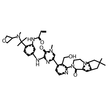 C=CC(=O)Nc1cc(Nc2nc(-c3ccnc(N4CCn5c(cc6c5CC(C)(C)C6)C4=O)c3CO)cn(C)c2=O)ccc1C(C)(C)N(C)C1COC1